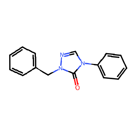 O=c1n(-c2ccccc2)cnn1Cc1ccccc1